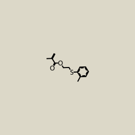 C=C(C)C(=O)OCCSc1ccccc1C